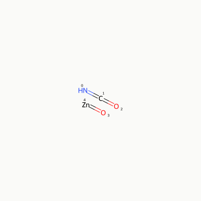 N=C=O.[O]=[Zn]